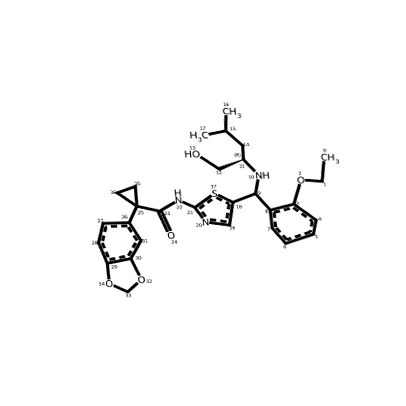 CCOc1ccccc1C(N[C@@H](CO)CC(C)C)c1cnc(NC(=O)C2(c3ccc4c(c3)OCO4)CC2)s1